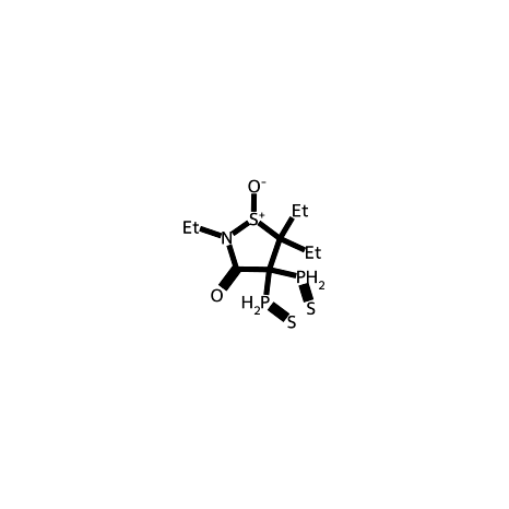 CCN1C(=O)C([PH2]=S)([PH2]=S)C(CC)(CC)[S+]1[O-]